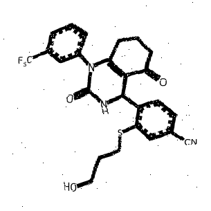 N#Cc1ccc(C2NC(=O)N(c3cccc(C(F)(F)F)c3)C3=C2C(=O)CCC3)c(SCCCO)c1